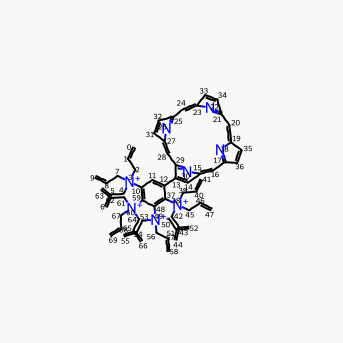 C=CC[N+](CC=C)(CC=C)c1cc(C2=CC3=CC4=NC(=CC5=NC(=CC6=NC(=CC2=N3)C=C6)C=C5)C=C4)c([N+](CC=C)(CC=C)CC=C)c([N+](CC=C)(CC=C)CC=C)c1[N+](CC=C)(CC=C)CC=C